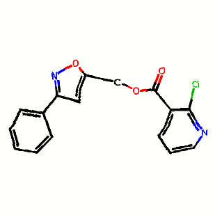 O=C(OCc1cc(-c2ccccc2)no1)c1cccnc1Cl